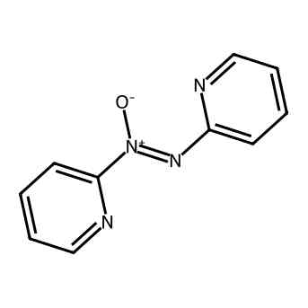 [O-][N+](=Nc1ccccn1)c1ccccn1